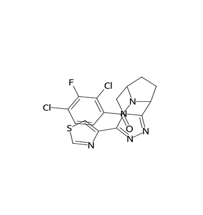 O=C(c1ccc(Cl)c(F)c1Cl)N1C2CCC1c1nnc(-c3cscn3)n1C2